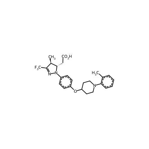 Cc1ccccc1N1CCC(Oc2ccc(N3N=C(C(F)(F)F)[C@@H](C)[C@@H]3CC(=O)O)cc2)CC1